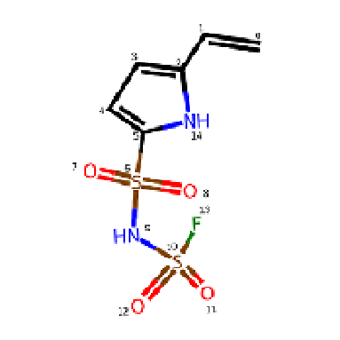 C=Cc1ccc(S(=O)(=O)NS(=O)(=O)F)[nH]1